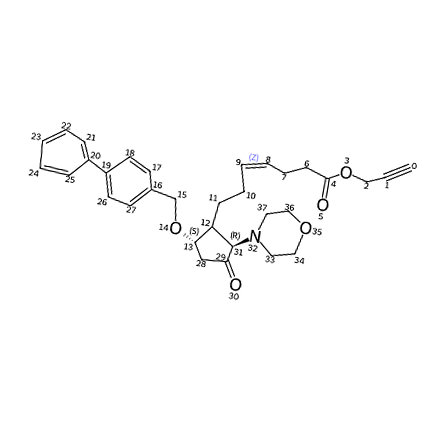 C#CCOC(=O)CC/C=C\CCC1[C@@H](OCc2ccc(-c3ccccc3)cc2)CC(=O)[C@@H]1N1CCOCC1